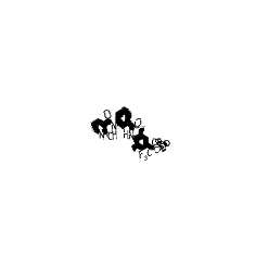 Cc1cc(C(OS(C)(=O)=O)(C(F)(F)F)C(F)(F)F)cc(C)c1NC(=O)c1cccc(NC(=O)c2cccnc2Cl)c1